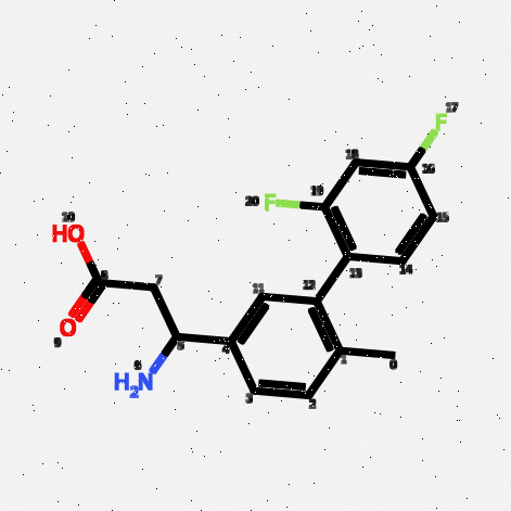 Cc1ccc(C(N)CC(=O)O)cc1-c1ccc(F)cc1F